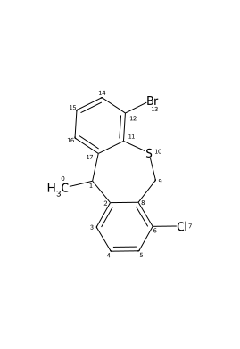 CC1c2cccc(Cl)c2CSc2c(Br)cccc21